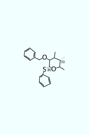 CC1O[C@H](Sc2ccccc2)C(OCc2ccccc2)C(C)[C@@H]1C